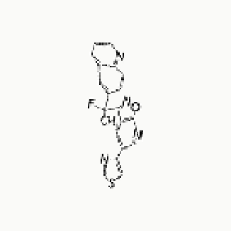 CC(F)(c1ccc2ncccc2c1)c1noc2ncc(-c3cscn3)cc12